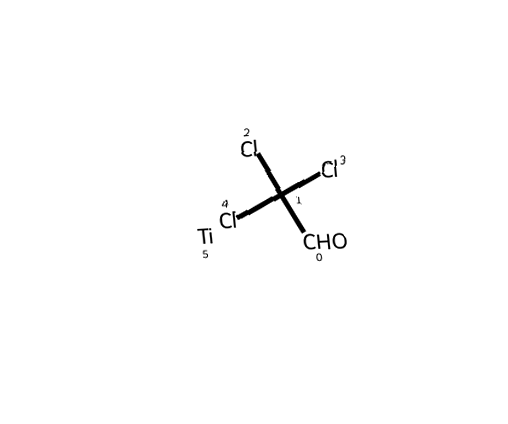 O=CC(Cl)(Cl)Cl.[Ti]